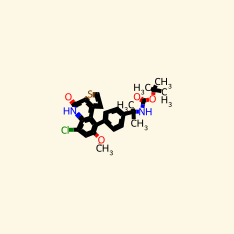 COc1cc(Cl)c2[nH]c(=O)c3sccc3c2c1-c1ccc(C(C)(C)NC(=O)OC(C)(C)C)cc1